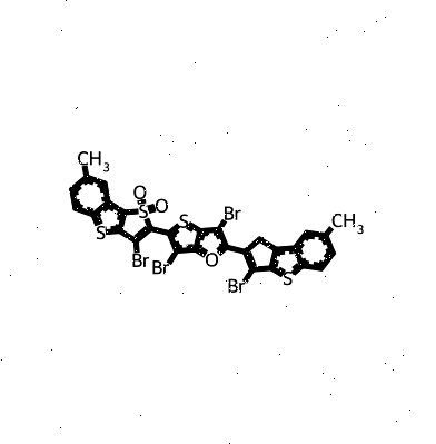 Cc1ccc2sc3c(c2c1)CC(c1oc2c(Br)c(C4=C(Br)c5sc6ccc(C)cc6c5S4(=O)=O)sc2c1Br)=C3Br